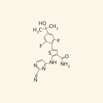 CC(C)(O)c1cc(F)c(-c2cc(C(N)=O)c(Nc3ccnc(C#N)n3)s2)c(F)c1